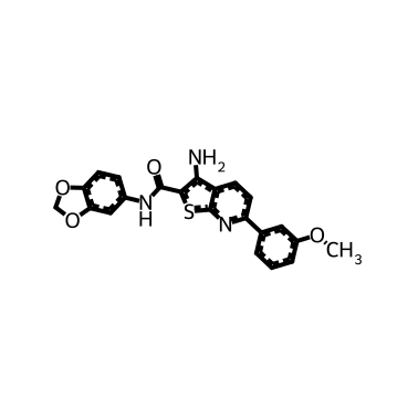 COc1cccc(-c2ccc3c(N)c(C(=O)Nc4ccc5c(c4)OCO5)sc3n2)c1